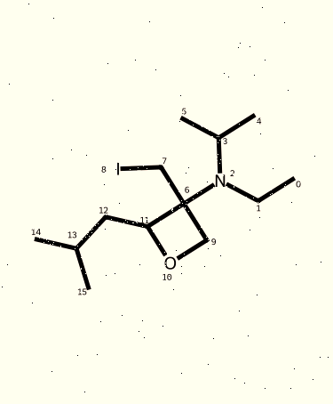 CCN(C(C)C)C1(CI)COC1CC(C)C